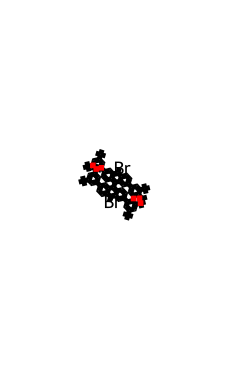 Cc1cc(-c2ccc3c(Br)c4cc(-c5cc(C(C)(C)C)cc(C(C)(C)C)c5)ccc4c(-c4c5ccc(-c6cc(C(C)(C)C)cc(C(C)(C)C)c6)cc5c(Br)c5ccc(-c6cc(C(C)(C)C)cc(C(C)(C)C)c6)cc45)c3c2)cc(C(C)(C)C)c1C(C)C